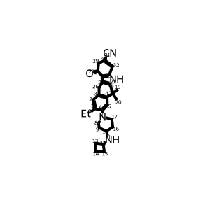 CCc1cc2c(cc1N1CCC(NC3CCC3)CC1)C(C)(C)c1[nH]c3c(c1C2)C(=O)CC(C#N)=C3